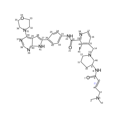 CN(C)C/C=C/C(=O)NC1CCCN(Cc2ccnc(C(=O)Nc3ccc(-c4cc5c(N6CCOCC6)ncnc5[nH]4)cc3)c2F)C1